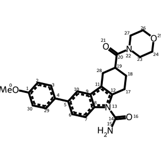 COc1ccc(-c2ccc3c(c2)c2c(n3C(N)=O)CCC(C(=O)N3CCOCC3)C2)cc1